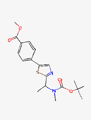 COC(=O)c1ccc(-c2cnc(C(C)N(C)C(=O)OC(C)(C)C)s2)cc1